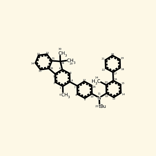 Cc1cc2c(cc1-c1ccc(N(c3cccc(-c4ccccc4)c3C)C(C)(C)C)cc1)C(C)(C)c1ccccc1-2